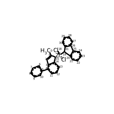 CC1=Cc2c(-c3ccccc3)cccc2[CH]1[Zr]([Cl])([Cl])[CH]1c2ccccc2-c2ccccc21